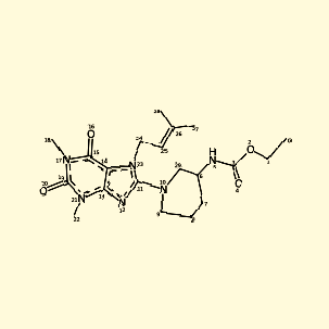 CCOC(=O)NC1CCCN(c2nc3c(c(=O)n(C)c(=O)n3C)n2CC=C(C)C)C1